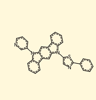 c1ccc(-c2ncc(-n3c4ccccc4c4cc5c(cc43)c3ccccc3n5-c3cccnc3)s2)cc1